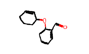 O=Cc1ccccc1OC1C=CCCC1